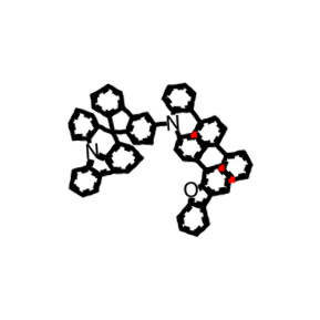 c1ccc(-c2ccc(-c3ccccc3N(c3ccc(-c4cccc5c4oc4ccccc45)cc3)c3ccc4c(c3)-c3ccccc3C43c4ccccc4-n4c5ccccc5c5cccc3c54)cc2)cc1